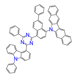 c1ccc(-c2ccc3c(-c4nc(-c5ccccc5)nc(-c5cccc6c5c5ccccc5n6-c5ccccc5)n4)ccc(-n4c5cc6ccccc6cc5c5cc6ccccc6cc54)c3c2)cc1